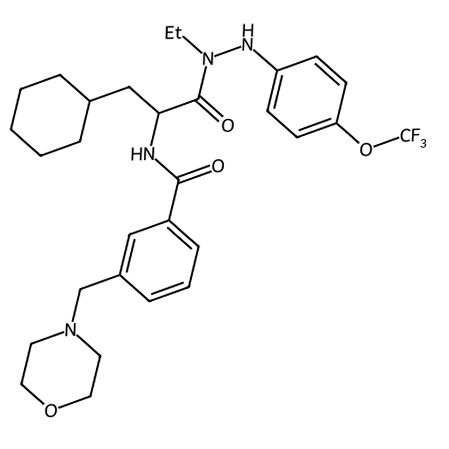 CCN(Nc1ccc(OC(F)(F)F)cc1)C(=O)C(CC1CCCCC1)NC(=O)c1cccc(CN2CCOCC2)c1